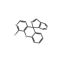 Fc1nccc2c1Oc1ccccc1C21N=Cc2ccncc21